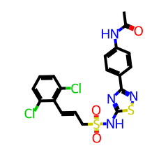 CC(=O)Nc1ccc(-c2nsc(NS(=O)(=O)CC=Cc3c(Cl)cccc3Cl)n2)cc1